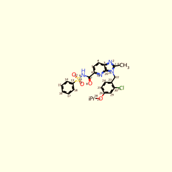 Cc1nc2ccc(C(=O)NS(=O)(=O)c3ccccc3)nc2n1Cc1ccc(OC(C)C)cc1Cl